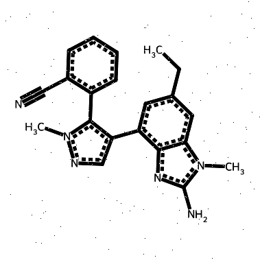 CCc1cc(-c2cnn(C)c2-c2ccccc2C#N)c2nc(N)n(C)c2c1